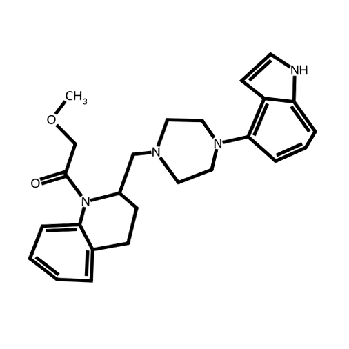 COCC(=O)N1c2ccccc2CCC1CN1CCN(c2cccc3[nH]ccc23)CC1